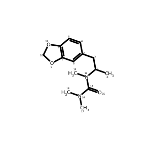 CC(Cc1ccc2c(c1)OCO2)N(C)C(=O)N(C)C